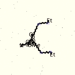 CC/C=C\CCCC/C=C\CCCCCCCC(=O)OC[C@H](COP(=O)(OC)OCCCN(C)C)OC(=O)CCCCCCC/C=C\CCCC/C=C\CC